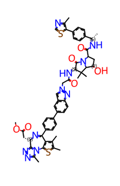 COC(=O)C[C@@H]1N=C(c2ccc(-c3ccc4nn(CC(=O)N[C@@H]5C(=O)N6C(C(=O)N[C@@H](C)c7ccc(-c8scnc8C)cc7)C[C@@H](O)C6C5(C)C)cc4c3)cc2)c2c(sc(C)c2C)-n2c(C)nnc21